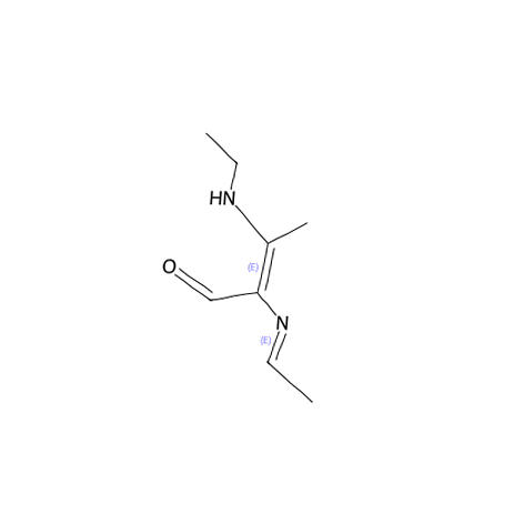 C/C=N/C(C=O)=C(\C)NCC